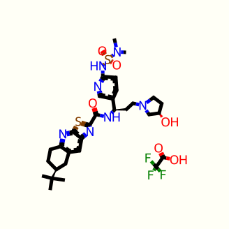 CN(C)S(=O)(=O)Nc1ccc([C@@H](CCN2CC[C@@H](O)C2)NC(=O)c2nc3cc4c(nc3s2)CC[C@H](C(C)(C)C)C4)cn1.O=C(O)C(F)(F)F